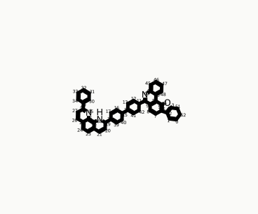 C1=Cc2c(oc3c2ccc2c(C4C=CC(C5C=CC(C6C=Cc7ccc8ccc(-c9ccccc9)nc8c7N6)=CC5)=CC4)nc4ccccc4c23)CC1